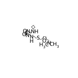 CN(C)Cc1ccc(CSCCNC2=NS(=O)(=O)N=C2NC2CCC2)o1